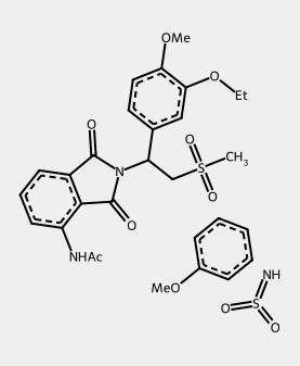 CCOc1cc(C(CS(C)(=O)=O)N2C(=O)c3cccc(NC(C)=O)c3C2=O)ccc1OC.COc1ccccc1.N=S(=O)=O